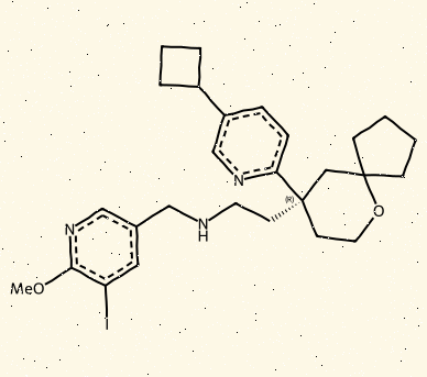 COc1ncc(CNCC[C@@]2(c3ccc(C4CCC4)cn3)CCOC3(CCCC3)C2)cc1I